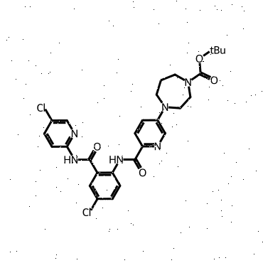 CC(C)(C)OC(=O)N1CCCN(c2ccc(C(=O)Nc3ccc(Cl)cc3C(=O)Nc3ccc(Cl)cn3)nc2)CC1